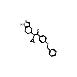 O=C(c1ccc(OCc2ccccc2)cc1)N(C1CC1)C1CCc2[nH]ncc2C1